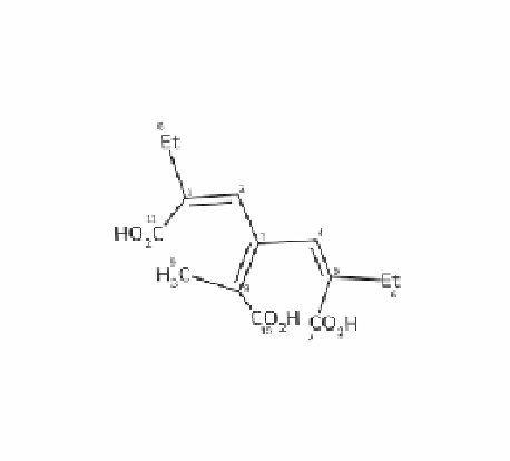 CCC(=CC(C=C(CC)C(=O)O)=C(C)C(=O)O)C(=O)O